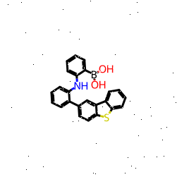 OB(O)c1ccccc1Nc1ccccc1-c1ccc2sc3ccccc3c2c1